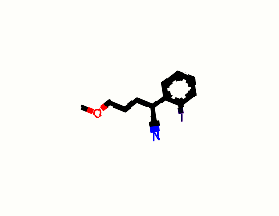 COCCCC(C#N)c1ccccc1I